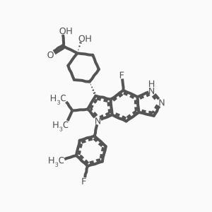 Cc1cc(-n2c(C(C)C)c([C@H]3CC[C@](O)(C(=O)O)CC3)c3c(F)c4[nH]ncc4cc32)ccc1F